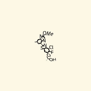 COc1cnc2c(-c3nc4c(Cl)c(F)c(OC[C@@H](C)O)cc4s3)cc(C)cc2n1